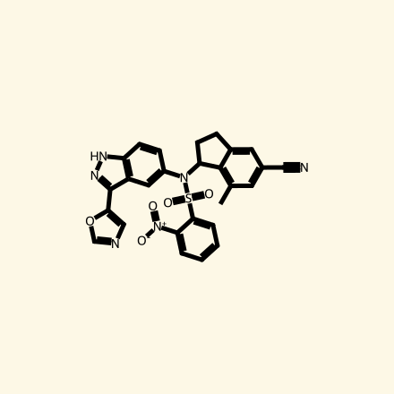 Cc1cc(C#N)cc2c1C(N(c1ccc3[nH]nc(-c4cnco4)c3c1)S(=O)(=O)c1ccccc1[N+](=O)[O-])CC2